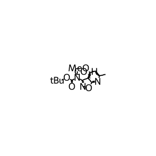 COc1cc(C)nc2onc(N(C(=O)O)C(=O)OC(C)(C)C)c12